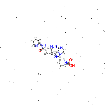 Nc1nccn2c(C3CCCN(C(=O)O)C3)nc(-c3ccc(C(=O)Nc4ccccn4)cc3)c12